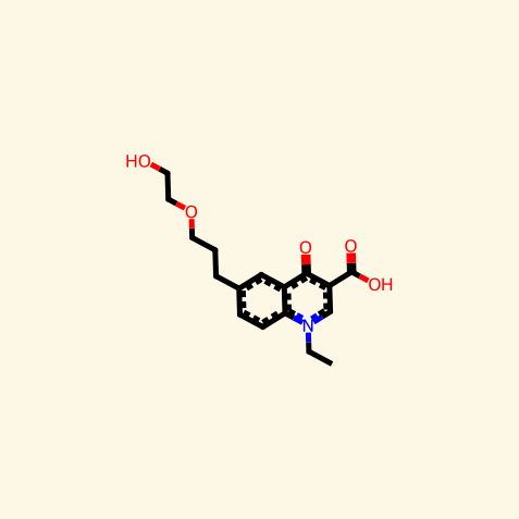 CCn1cc(C(=O)O)c(=O)c2cc(CCCOCCO)ccc21